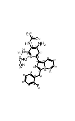 CCC(=O)Nc1c(N)nc(-c2nc(Cc3ccccc3F)n3ncccc23)nc1N.O=CO